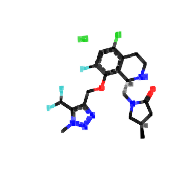 C[C@@H]1CC(=O)N(C[C@H]2NCCc3c(Cl)cc(F)c(OCc4nnn(C)c4C(F)F)c32)C1.Cl